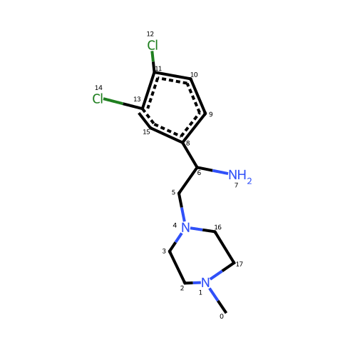 CN1CCN(CC(N)c2ccc(Cl)c(Cl)c2)CC1